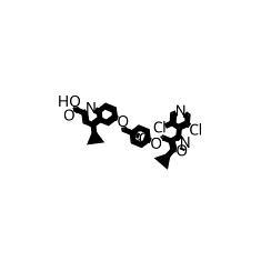 O=C(O)c1cc(C2CC2)c2cc(OCC34CCC(OCc5c(-c6c(Cl)cncc6Cl)noc5C5CC5)(CC3)CC4)ccc2n1